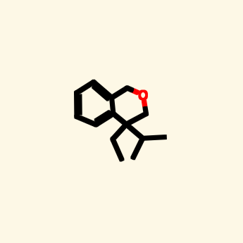 CCC1(C(C)C)COCc2ccccc21